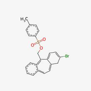 Cc1ccc(S(=O)(=O)OCC2=c3ccccc3=CC=C3CC(Br)=CC=C32)cc1